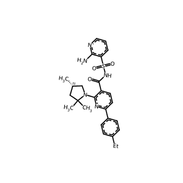 CCc1ccc(-c2ccc(C(=O)NS(=O)(=O)c3cccnc3N)c(N3C[C@@H](C)CC3(C)C)n2)cc1